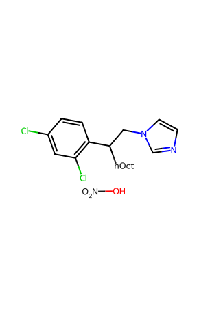 CCCCCCCCC(Cn1ccnc1)c1ccc(Cl)cc1Cl.O=[N+]([O-])O